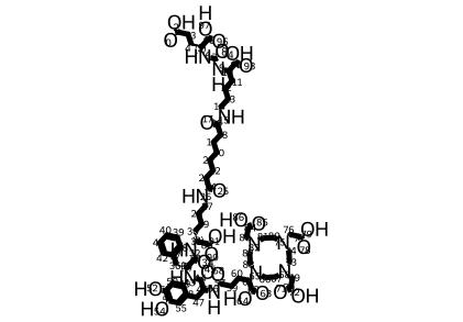 O=C(O)CC[C@H](NC(=O)NC(CCCCNC(=O)CCCCCCC(=O)NCCCC[C@@H](NC(=O)[C@@H](Cc1ccccc1)NC(=O)C(Cc1ccc(O)c(O)c1)NC(=O)CCC(C(=O)O)N1CCN(CC(=O)O)CCN(CC(=O)O)CCN(CC(=O)O)CC1)C(=O)O)C(=O)O)C(=O)O